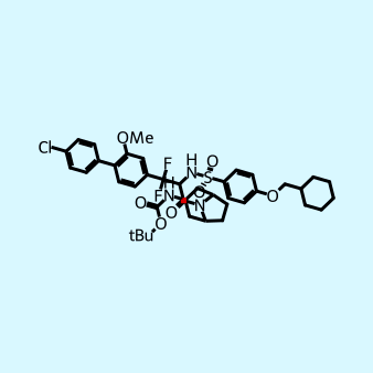 COc1cc(C(F)(F)C(NS(=O)(=O)c2ccc(OCC3CCCCC3)cc2)C(=O)N2C3CCC2CC(NC(=O)OC(C)(C)C)C3)ccc1-c1ccc(Cl)cc1